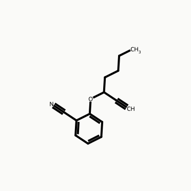 C#CC(CCCC)Oc1ccccc1C#N